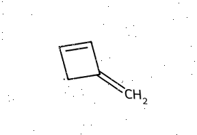 C=C1[CH]C=C1